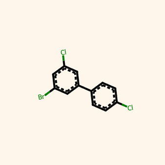 Clc1ccc(-c2cc(Cl)cc(Br)c2)cc1